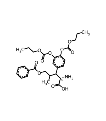 CCCOC(=O)Oc1ccc(C(C(C)COC(=O)c2ccccc2)[C@H](N)C(=O)O)cc1OC(=O)OCCC